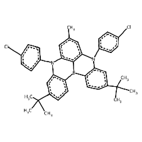 Cc1cc2c3c(c1)N(c1ccc(Cl)cc1)c1cc(C(C)(C)C)ccc1B3c1ccc(C(C)(C)C)cc1N2c1ccc(Cl)cc1